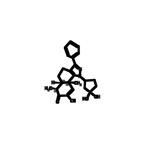 C[C@H]1C(=O)C(C#N)=C[C@@]2(C)c3c(c(-c4ccccc4)nn3C3CCS(O)(O)C3)CC[C@H]12